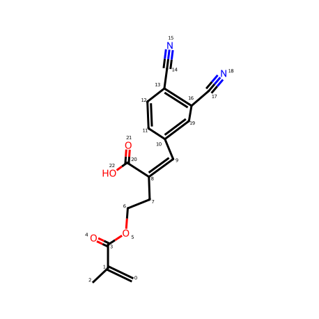 C=C(C)C(=O)OCCC(=Cc1ccc(C#N)c(C#N)c1)C(=O)O